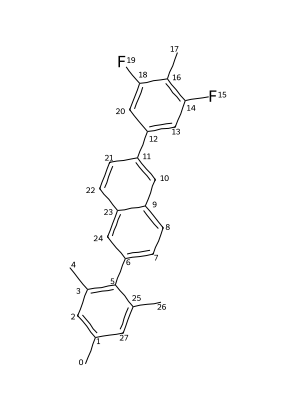 Cc1cc(C)c(-c2ccc3cc(-c4cc(F)c(C)c(F)c4)ccc3c2)c(C)c1